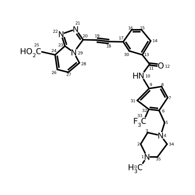 CN1CCN(Cc2ccc(NC(=O)c3cccc(C#Cc4nnc5c(C(=O)O)cccn45)c3)cc2C(F)(F)F)CC1